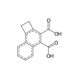 O=C(O)c1c2c(c3ccccc3c1C(=O)O)CC2